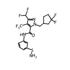 NSc1cccc(NC(=O)c2c(C(F)(F)F)c(C(F)F)nn2CC2CCC(F)(F)C2)c1